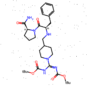 CC(C)(C)OC(=O)N=C(NC(=O)OC(C)(C)C)N1CCC(CN[C@H](Cc2ccccc2)C(=O)N2CCC[C@H]2C(N)=O)CC1